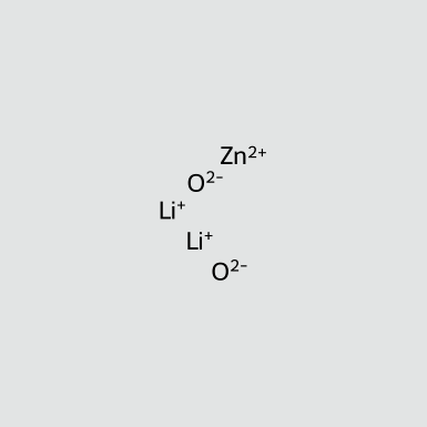 [Li+].[Li+].[O-2].[O-2].[Zn+2]